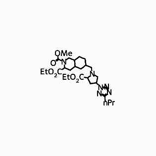 CCCc1nnn(C2CC(C(=O)OCC)N(CC3CCC4CN(C(=O)OC)C(C(=O)OCC)CC4C3)C2)n1